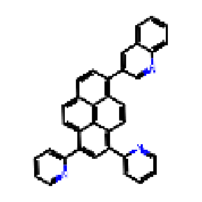 c1ccc(-c2cc(-c3ccccn3)c3ccc4c(-c5cnc6ccccc6c5)ccc5ccc2c3c54)nc1